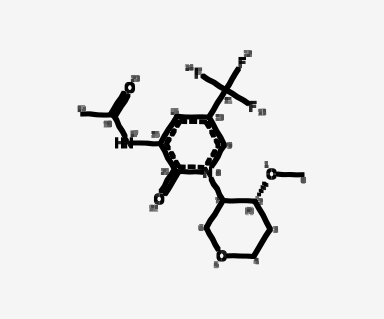 CO[C@@H]1CCOCC1n1cc(C(F)(F)F)cc(NC(C)=O)c1=O